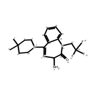 CC1(C)CCN(C2=NC(N)C(=O)N(CC(F)(F)F)c3ccccc32)CC1